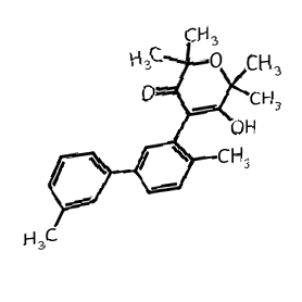 Cc1cccc(-c2ccc(C)c(C3=C(O)C(C)(C)OC(C)(C)C3=O)c2)c1